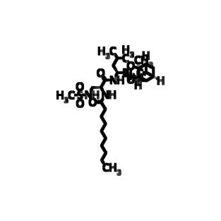 CCCCCCCCCC(=O)N[C@@H](CNS(C)(=O)=O)C(=O)N[C@@H](CC(C)C)B1O[C@@H]2C[C@@H]3C[C@@H](C3(C)C)[C@]2(C)O1